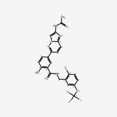 CC(=O)Nc1cn2nc(-c3ccc(O)c(C(=O)NCc4cc(OC(F)(F)F)ccc4F)c3)ccc2n1